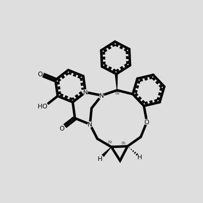 O=C1c2c(O)c(=O)ccn2N2CN1C[C@H]1C[C@@H]1COc1ccccc1[C@@H]2c1ccccc1